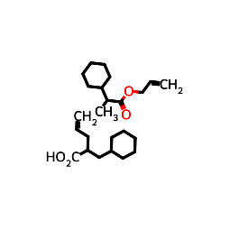 C=CCC(CC1CCCCC1)C(=O)O.C=CCOC(=O)C(C)C1CCCCC1